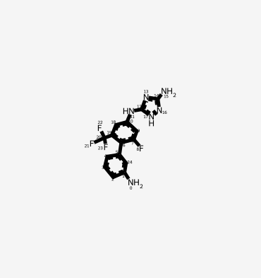 Nc1cccc(-c2c(F)cc(Nc3nc(N)n[nH]3)cc2C(F)(F)F)c1